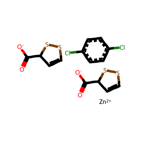 Clc1ccc(Cl)cc1.O=C([O-])C1C=CSS1.O=C([O-])C1C=CSS1.[Zn+2]